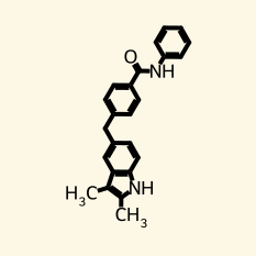 Cc1[nH]c2ccc(Cc3ccc(C(=O)Nc4ccccc4)cc3)cc2c1C